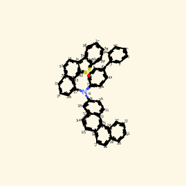 c1ccc(-c2ccc(N(c3ccc4c(ccc5ccc6ccccc6c54)c3)c3cccc4ccc5c6ccccc6sc5c34)cc2)cc1